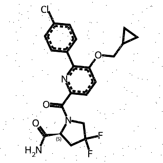 NC(=O)[C@@H]1CC(F)(F)CN1C(=O)c1ccc(OCC2CC2)c(-c2ccc(Cl)cc2)n1